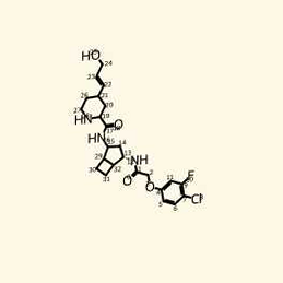 O=C(COc1ccc(Cl)c(F)c1)N[C@H]1CC(NC(=O)C2CC(/C=C/CO)CCN2)C2CCC21